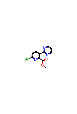 COC(=O)c1nc(Br)ccc1-c1ncccn1